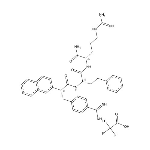 N=C(N)NCCC[C@H](NC(=O)[C@H](CCc1ccccc1)NC(=O)[C@H](Cc1ccc(C(=N)N)cc1)c1ccc2ccccc2c1)C(N)=O.O=C(O)C(F)(F)F